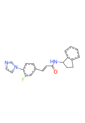 O=C(C=Cc1ccc(-n2ccnc2)c(F)c1)NC1CCc2ccccc21